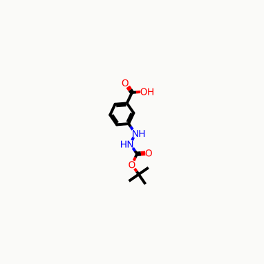 CC(C)(C)OC(=O)NNc1cccc(C(=O)O)c1